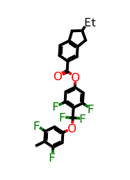 CCC1Cc2ccc(C(=O)Oc3cc(F)c(C(F)(F)Oc4cc(F)c(C)c(F)c4)c(F)c3)cc2C1